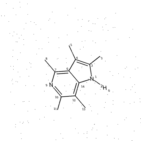 [2H]n1c(C)c(C)c2c(C)nc(C)c(C)c21